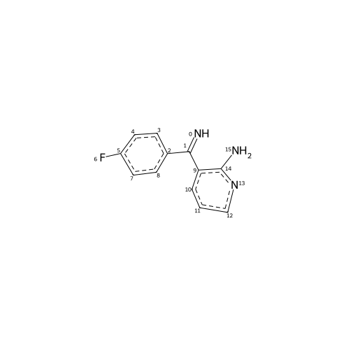 N=C(c1ccc(F)cc1)c1cccnc1N